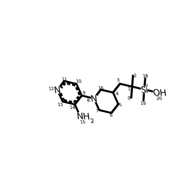 CC(C)(CC1CCCN(c2ccncc2N)C1)[Si](C)(C)O